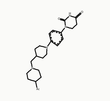 CC(=O)C1CCN(CC2CCN(c3ccc(N4CCC(=O)NC4=O)cc3)CC2)CC1